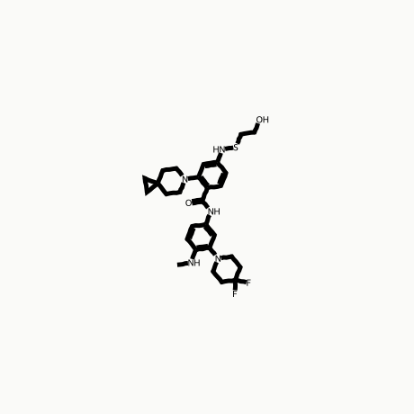 CNc1ccc(NC(=O)c2ccc(NSCCO)cc2N2CCC3(CC2)CC3)cc1N1CCC(F)(F)CC1